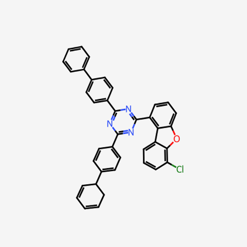 Clc1cccc2c1oc1cccc(-c3nc(-c4ccc(-c5ccccc5)cc4)nc(-c4ccc(C5C=CC=CC5)cc4)n3)c12